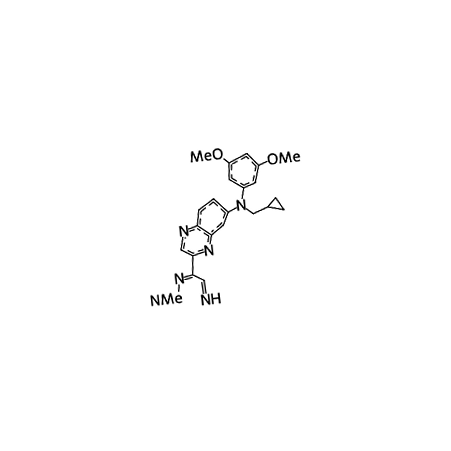 CN/N=C(\C=N)c1cnc2ccc(N(CC3CC3)c3cc(OC)cc(OC)c3)cc2n1